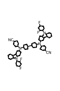 N#Cc1ccc(N(c2ccc(-c3ccc(N(c4ccc(C#N)cc4)c4ccc5c(c4)c4ccccc4n5-c4ccc(F)cc4F)cc3)cc2)c2ccc3c(c2)c2ccccc2n3-c2ccc(F)cc2F)cc1